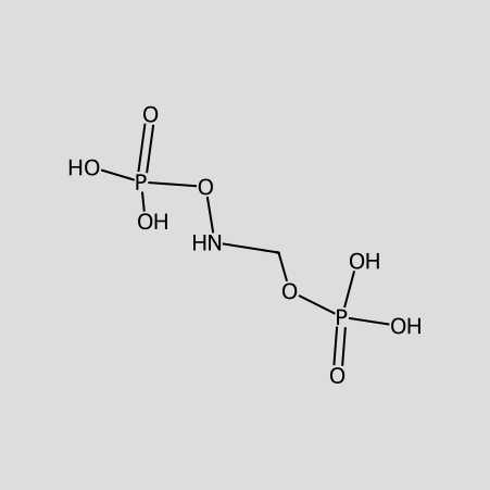 O=P(O)(O)OCNOP(=O)(O)O